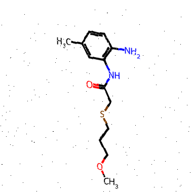 COCCCSCC(=O)Nc1cc(C)ccc1N